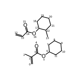 C=C(C)C(=O)OC1CCCCC1.C=CC(=O)OC1CCCCC1C